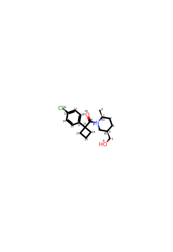 C[C@H]1CC[C@@H](CO)CN1C(=O)C1(c2ccc(Cl)cc2)CCC1